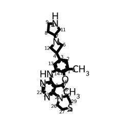 Cc1cc(C2CN(C3CCNC3)C2)cc2c1OC(C)c1c(ncnc1N1CCSCC1)N2